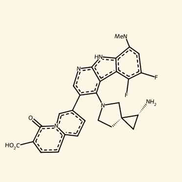 CNc1cc(F)c(F)c2c1[nH]c1ncc(-c3ccc4ccc(C(=O)O)c(=O)n4c3)c(N3CC[C@]4(C[C@H]4N)C3)c12